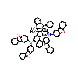 CC1(C2(C)c3ccccc3-c3c2cc(N(c2ccc4oc5ccccc5c4c2)c2ccc4oc5ccccc5c4c2)c2ccccc32)c2ccccc2-c2c1cc(N(c1ccc3oc4ccccc4c3c1)c1ccc3oc4ccccc4c3c1)c1ccccc21